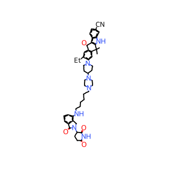 CCc1cc2c(cc1N1CCC(N3CCN(CCCCCCNc4cccc5c4CN(C4CCC(=O)NC4=O)C5=O)CC3)CC1)C(C)(C)c1[nH]c3cc(C#N)ccc3c1C2=O